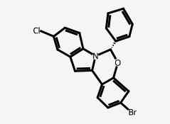 Clc1ccc2c(c1)cc1n2[C@H](c2ccccc2)Oc2cc(Br)ccc2-1